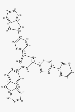 c1ccc(-c2ccc(-c3nc(-c4ccc(-c5cc6ccccc6o5)cc4)nc(-c4ccc5oc6ccccc6c5c4)n3)cc2)cc1